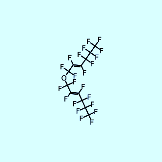 FC(=C(F)C(F)(F)C(F)(F)C(F)(F)F)C(F)(F)OC(F)(F)C(F)=C(F)C(F)(F)C(F)(F)C(F)(F)F